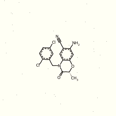 C[C@H]1Oc2cc(N)c(C#N)cc2N(Cc2cc(Cl)ccc2Cl)C1=O